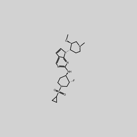 CO[C@H]1CN(C)CC[C@@H]1n1ccc2cnc(N[C@@H]3CCN(S(=O)(=O)C4CC4)C[C@H]3F)nc21